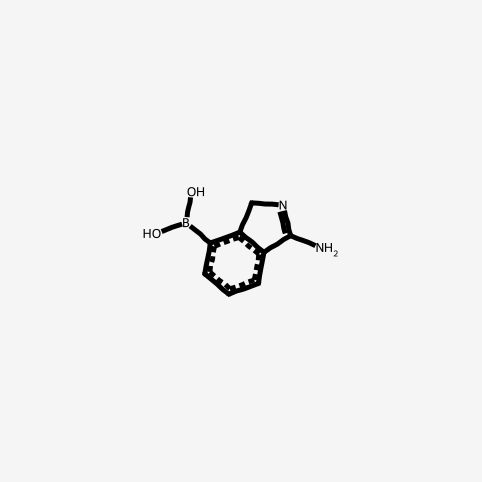 NC1=NCc2c(B(O)O)cccc21